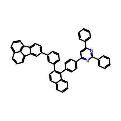 c1ccc(-c2cc(-c3ccc(-c4c(-c5cccc(-c6ccc7c(c6)-c6cccc8cccc-7c68)c5)ccc5ccccc45)cc3)nc(-c3ccccc3)n2)cc1